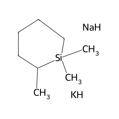 CC1CCCC[Si]1(C)C.[KH].[NaH]